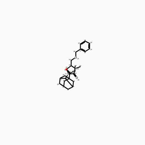 COC(=O)C12CC3CC(C1)C(N1CC(COCc4ccccc4)N(C)C1=O)C(C3)C2